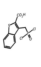 O=C(O)c1sc2ccccc2c1CP(=O)(Cl)Cl